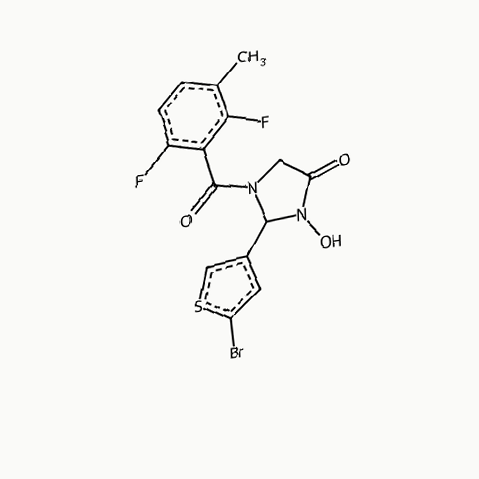 Cc1ccc(F)c(C(=O)N2CC(=O)N(O)C2c2csc(Br)c2)c1F